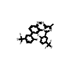 Cc1nc(-c2cc(C(F)(F)F)ccc2F)n2c1nnc1ccc(-c3cc(C(F)(F)F)ccc3F)cc12